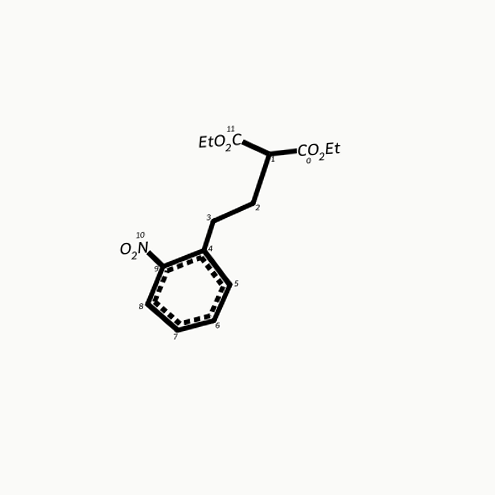 CCOC(=O)C(CCc1ccccc1[N+](=O)[O-])C(=O)OCC